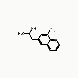 Cc1cc(CC(C)[NH])cc2ccccc12